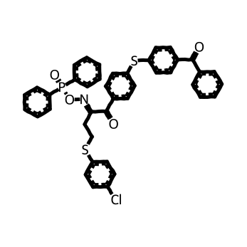 O=C(/C(CCSc1ccc(Cl)cc1)=N/OP(=O)(c1ccccc1)c1ccccc1)c1ccc(Sc2ccc(C(=O)c3ccccc3)cc2)cc1